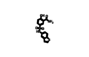 NC(=O)c1cc(S(=O)(=O)Nc2ccc3sccc3c2)ccc1O